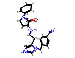 N#Cc1ccc(Cn2cncc2CCN[C@H]2CCN(c3ccccc3)C2=O)cc1